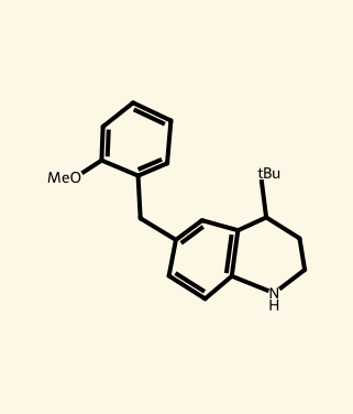 COc1ccccc1Cc1ccc2c(c1)C(C(C)(C)C)CCN2